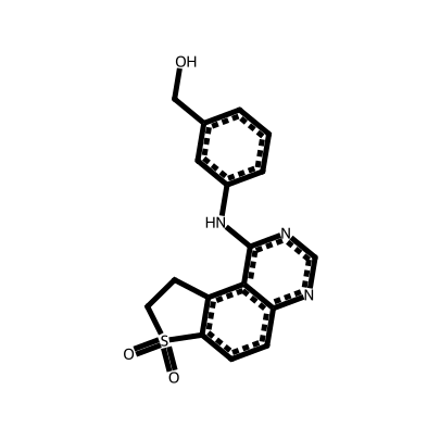 O=S1(=O)CCc2c1ccc1ncnc(Nc3cccc(CO)c3)c21